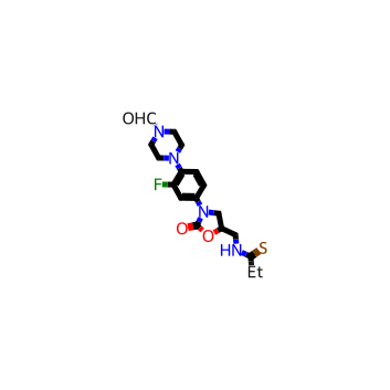 CCC(=S)NCC1CN(c2ccc(N3CCN(C=O)CC3)c(F)c2)C(=O)O1